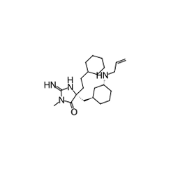 C=CCN[C@@H]1CCC[C@@H](C[C@@]2(CCC3CCCCC3)NC(=N)N(C)C2=O)C1